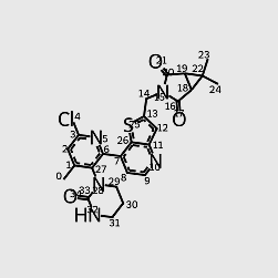 Cc1cc(Cl)nc(-c2ccnc3cc(CN4C(=O)C5C(C4=O)C5(C)C)sc23)c1N1CCCNC1=O